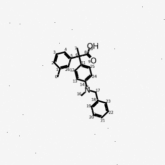 Cc1cccc(C(C)(C(=O)O)c2ccc(N(C)Cc3ccccc3)cc2)c1